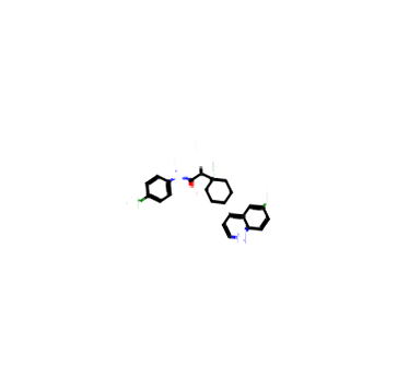 CC(C(=O)Nc1ccc(Cl)cc1)[C@]1(F)CC[C@@H](c2ccnc3ccc(F)cc32)CC1